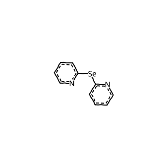 c1ccc([Se]c2ccccn2)nc1